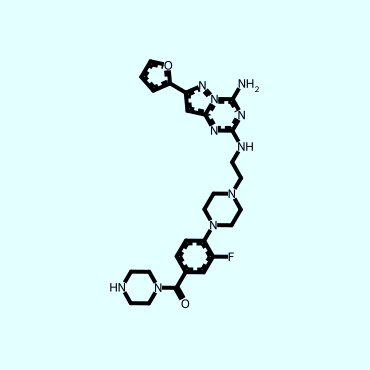 Nc1nc(NCCN2CCN(c3ccc(C(=O)N4CCNCC4)cc3F)CC2)nc2cc(-c3ccco3)nn12